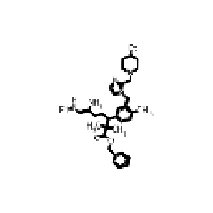 CCN/C=C(\N)CCC(c1ccc(C)c(Cn2ccnc2CN2CCC(CC)CC2)c1)C(C)(C)C(=O)OCc1ccccc1